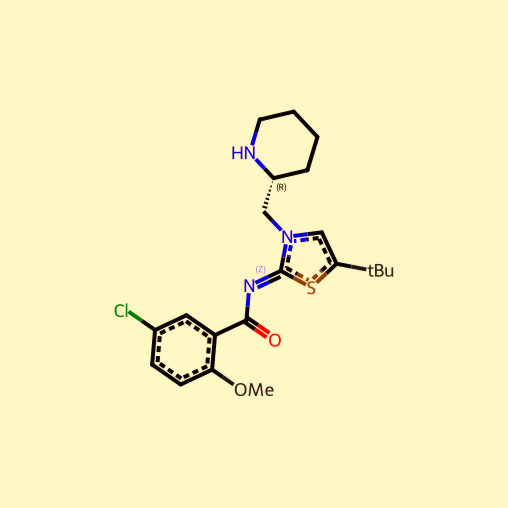 COc1ccc(Cl)cc1C(=O)/N=c1\sc(C(C)(C)C)cn1C[C@H]1CCCCN1